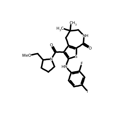 COCC1CCCN1C(=O)c1c(Nc2ccc(I)cc2F)sc2c1CC(C)(C)CNC2=O